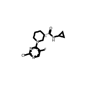 O=C(NC1CC1)[C@H]1CCCN(c2nc(Cl)ncc2F)C1